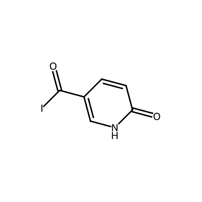 O=C(I)c1ccc(=O)[nH]c1